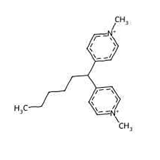 CCCCCC(c1cc[n+](C)cc1)c1cc[n+](C)cc1